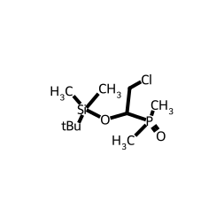 CC(C)(C)[Si](C)(C)OC(CCl)P(C)(C)=O